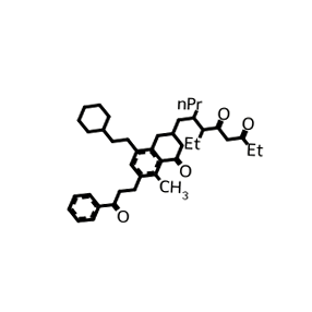 CCCC(CC1CC(=O)c2c(C)c(CCC(=O)c3ccccc3)cc(CCC3CCCCC3)c2C1)C(CC)C(=O)CC(=O)CC